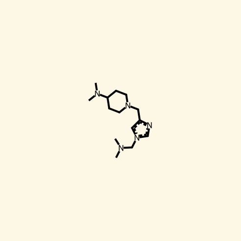 CN(C)Cn1cnc(CN2CCC(N(C)C)CC2)c1